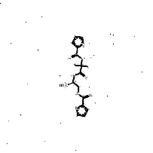 CC(C)(SC(=O)c1ccco1)C(=O)N[C@@H](CSC(=O)c1ccco1)C(=O)O